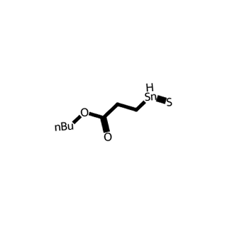 CCCCOC(=O)C[CH2][SnH]=[S]